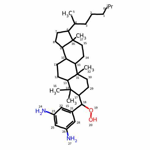 CC(C)CCCC(C)C1CCC2C3CCC4C(C)(C)C(C(OO)c5cc(N)cc(N)c5)CCC4(C)C3CCC12C